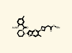 CC(=O)Nc1ccc(C)cc1C(=O)N1CCCC[C@H]1c1cc2nc(N3CC(CC(=O)OC(C)(C)C)C3)c(C)cn2n1